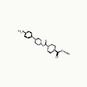 CC(C)(C)OC(=O)N1CCN(C(=O)OC2CCN(c3ccc(N)cc3)CC2)CC1